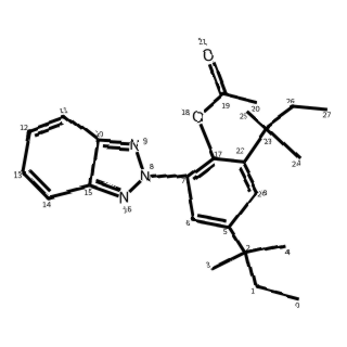 CCC(C)(C)c1cc(-n2nc3ccccc3n2)c(OC(C)=O)c(C(C)(C)CC)c1